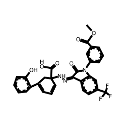 COC(=O)c1cccc(N2C(=O)/C(=N\NC3(C(=O)O)C=CC=C(c4ccccc4O)C3)c3ccc(C(F)(F)F)cc32)c1